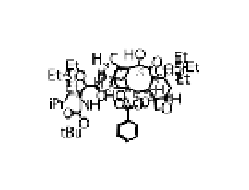 CC[Si](CC)(CC)OC(C(=O)O[C@H]1C[C@@]2(O)[C@@H](OC(=O)c3ccccc3)[C@@H]3[C@]4(OC(C)=O)CO[C@@H]4CC(O[Si](CC)(CC)CC)[C@@]3(C)C(=O)[C@H](O)C(=C1C)C2(C)C)[C@H](CC(C)C)NC(=O)OC(C)(C)C